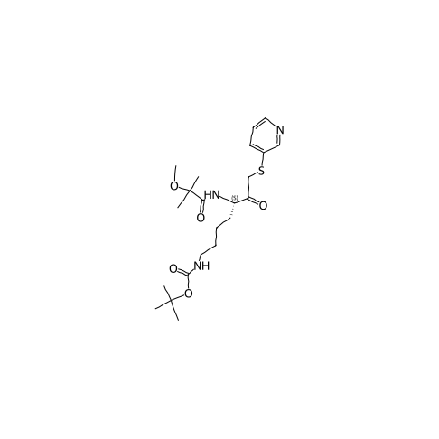 COC(C)(C)C(=O)N[C@@H](CCCCNC(=O)OC(C)(C)C)C(=O)CSc1cccnc1